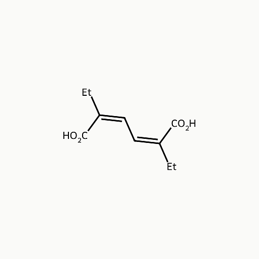 CCC(=CC=C(CC)C(=O)O)C(=O)O